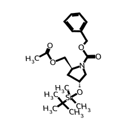 CC(=O)OC[C@@H]1C[C@@H](O[Si](C)(C)C(C)(C)C)CN1C(=O)OCc1ccccc1